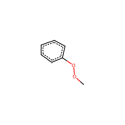 COOc1[c]cccc1